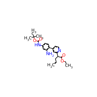 C=CCC(C(=O)OCC)c1cc(-c2ccc(NC(=O)OC(C)(C)C)cc2N)ccn1